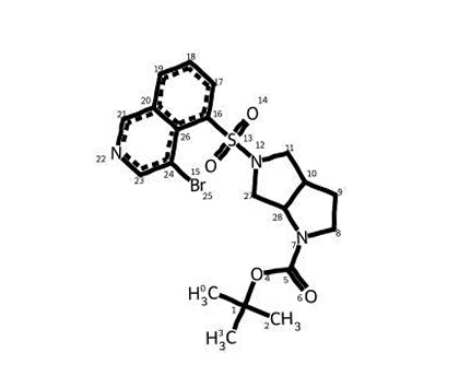 CC(C)(C)OC(=O)N1CCC2CN(S(=O)(=O)c3cccc4cncc(Br)c34)CC21